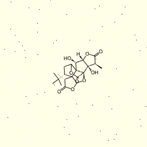 C[C@@H]1C(=O)O[C@H]2[C@H](O)C34C5C[C@@H](C(C)(C)C)C36C(OC(=O)[C@@H]6C)O[C@]4(C(=O)O5)[C@@]12O